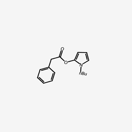 CCCCn1cccc1OC(=O)Cc1ccccc1